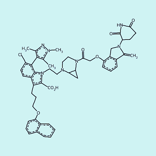 C=C1c2cccc(OCC(=O)N3CCN(CCn4c(C(=O)O)c(CCCOc5cccc6ccccc56)c5ccc(Cl)c(-c6c(C)nn(C)c6C)c54)C4CC43)c2CN1C1CCC(=O)NC1=O